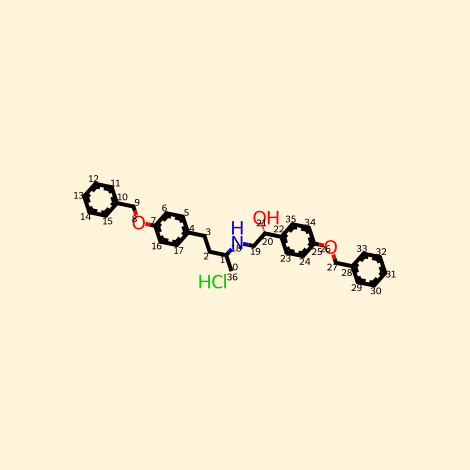 CC(CCc1ccc(OCc2ccccc2)cc1)NC[C@H](O)c1ccc(OCc2ccccc2)cc1.Cl